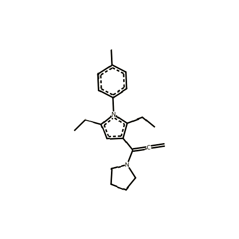 C=C=C(c1cc(CC)n(-c2ccc(C)cc2)c1CC)N1CCCC1